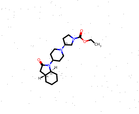 CCOC(=O)N1CC[C@H](N2CCC(N3C(=O)C[C@H]4CCCC[C@@H]43)CC2)C1